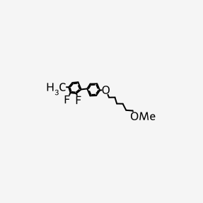 COCCCCCCOc1ccc(-c2ccc(C)c(F)c2F)cc1